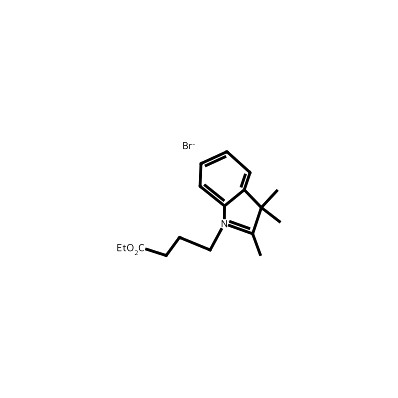 CCOC(=O)CCC[N+]1=C(C)C(C)(C)c2ccccc21.[Br-]